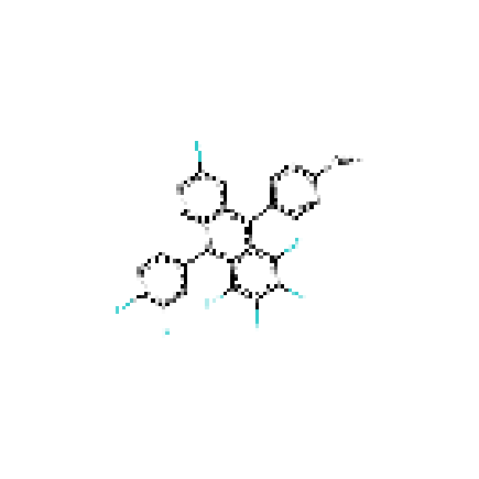 COc1ccc(-c2c3cc(F)ccc3c(-c3ccc(F)c(F)c3)c3c(F)c(F)c(F)c(F)c23)cc1